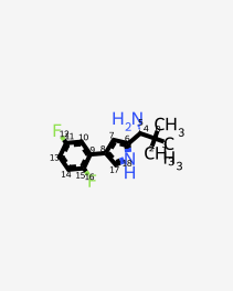 CC(C)(C)[C@@H](N)c1cc(-c2cc(F)ccc2F)c[nH]1